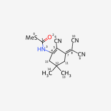 CSC(=O)NC1=C(C#N)C(=C(C#N)C#N)CC(C)(C)C1